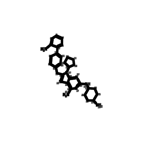 Nc1ccccc1-c1ccc(Cc2nc3c(N)nc(NC4CCC(N)CC4)nc3n2C2CCCC2)cc1